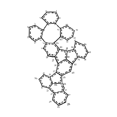 c1ccc2c(c1)-c1ccccc1-c1ccc3c4c5c6cccc7c8ccccc8n(c5cc5c8ccccc8n(c3c1-c1ccccc1-2)c54)c76